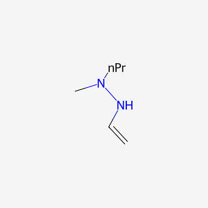 C=CNN(C)CCC